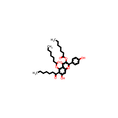 CCCCCCC(=O)Oc1c(-c2ccc(O)cc2)oc2cc(O)c(C(=O)CCCCCC)c(OC(=O)CCCCCC)c2c1=O